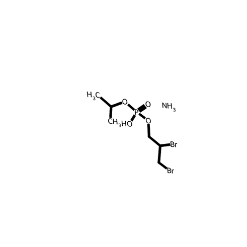 CC(C)OP(=O)(O)OCC(Br)CBr.N